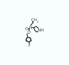 C=CCN(C(=O)OCc1ccc(F)cc1)C1CCNCC1